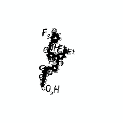 CCN(CC)c1ccc(NC(=O)c2cccc(CS(=O)(=O)CCOCCC(=O)O)c2)c(-c2cc(C(=O)NCc3cccc(C(F)(F)F)c3)ccn2)c1